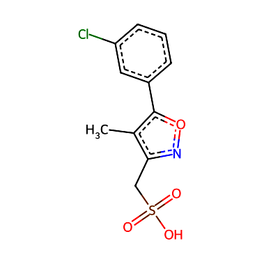 Cc1c(CS(=O)(=O)O)noc1-c1cccc(Cl)c1